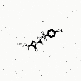 Cc1ccc(S(=O)(=O)NC(=O)N2CC(NC(=O)O)C2=O)cc1